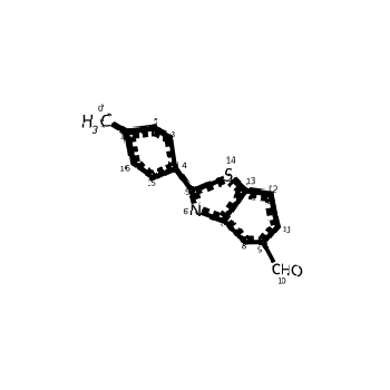 Cc1ccc(-c2nc3cc(C=O)ccc3s2)cc1